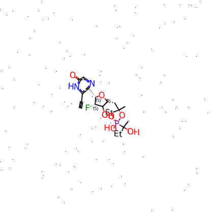 C#Cc1[nH]c(=O)cnc1[C@@H]1O[C@H](CC(C)(CC)OP(=O)(O)C(C)(O)CC)C(O)[C@@H]1F